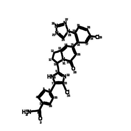 NC(=O)c1ccc(-c2[nH]c(C3CCc4cc(-c5cc(Cl)ccc5-n5cnnn5)cc(=O)n43)nc2Cl)cc1